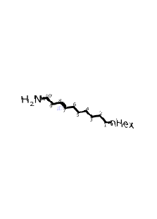 CCCCCCCCCCCC/C=C/CCN